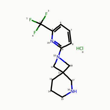 Cl.FC(F)(F)c1cccc(N2CC3(CCCNC3)C2)n1